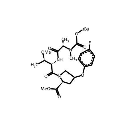 COC(=O)[C@@H]1CC(Oc2ccc(F)cc2)CN1C(=O)[C@@H](NC(=O)[C@H](C)N(C)C(=O)OC(C)(C)C)[C@@H](C)OC